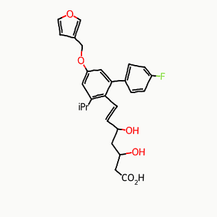 CC(C)c1cc(OCc2ccoc2)cc(-c2ccc(F)cc2)c1C=CC(O)CC(O)CC(=O)O